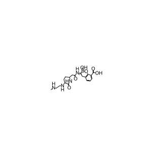 CNCCNC1CCC(CC(=O)N[C@H]2Cc3cccc(C(=O)O)c3OB2O)NC1=O